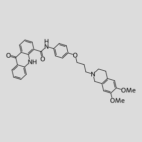 COc1cc2c(cc1OC)CN(CCCOc1ccc(NC(=O)c3cccc4c(=O)c5ccccc5[nH]c34)cc1)CC2